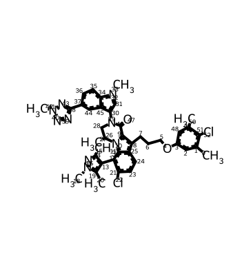 Cc1cc(OCCCc2c3n(c4c(-c5c(C)nn(C)c5C)c(Cl)ccc24)C(C)CN(c2cn(C)c4ccc(-c5nnn(C)n5)cc24)C3=O)cc(C)c1Cl